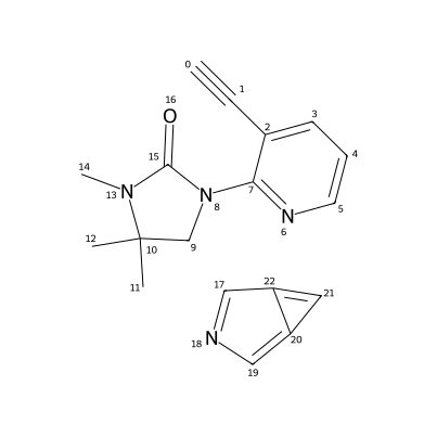 C#Cc1cccnc1N1CC(C)(C)N(C)C1=O.c1ncc2cc1-2